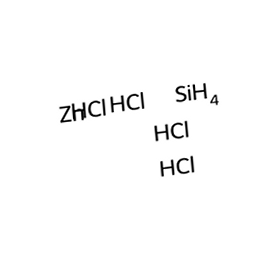 Cl.Cl.Cl.Cl.[SiH4].[Zn]